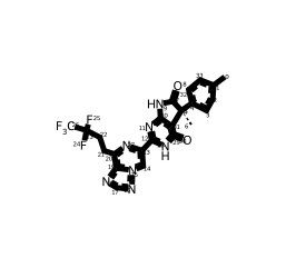 Cc1ccc([C@]2(C)C(=O)Nc3nc(-c4cn5ncnc5c(CCC(F)(F)C(F)(F)F)n4)[nH]c(=O)c32)cc1